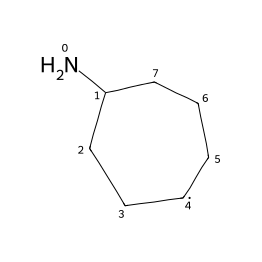 NC1CC[CH]CCC1